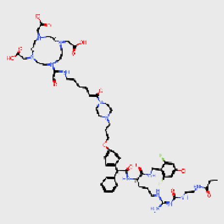 CCC(=O)NCCNC(=O)/N=C(/N)NCCC[C@@H](NC(=O)[C@@H](c1ccccc1)c1ccc(OCCCN2CCN(C(=O)CCCCCNC(C=O)N3CCN(CC(=O)O)CCN(CC(=O)O)CCN(CC(=O)O)CC3)CC2)cc1)C(=O)NCc1c(F)cc(O)cc1F